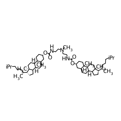 CC(C)CCC[C@@H](C)[C@H]1CCC2[C@@H]3CC=C4C[C@@H](OC(=O)NCCN(C)CCNC(=O)O[C@H]5CC[C@@]6(C)C(=CC[C@H]7C8CC[C@H]([C@H](C)CCCC(C)C)[C@@]8(C)CC[C@@H]76)C5)CC[C@]4(C)[C@H]3CC[C@@]21C